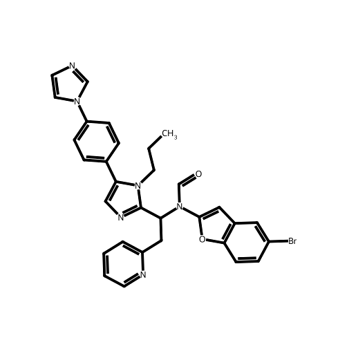 CCCn1c(-c2ccc(-n3ccnc3)cc2)cnc1C(Cc1ccccn1)N(C=O)c1cc2cc(Br)ccc2o1